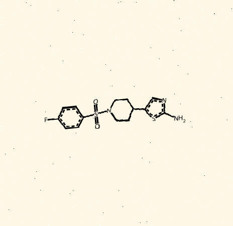 Nc1ncc(C2CCN(S(=O)(=O)c3ccc(F)cc3)CC2)s1